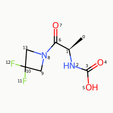 C[C@@H](NC(=O)O)C(=O)N1CC(F)(F)C1